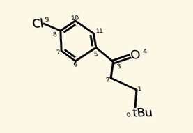 CC(C)(C)CCC(=O)c1ccc(Cl)cc1